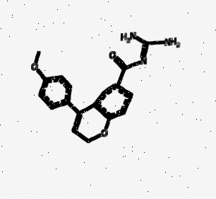 COc1ccc(C2=CCOc3ccc(C(=O)N=C(N)N)cc32)cc1